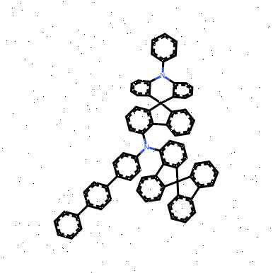 c1ccc(-c2ccc(-c3ccc(N(c4cccc5c4-c4ccccc4C54c5ccccc5-c5ccccc54)c4cccc5c4-c4ccccc4C54c5ccccc5N(c5ccccc5)c5ccccc54)cc3)cc2)cc1